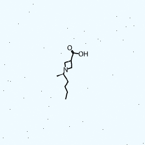 CCCC[C@@H](C)N1CC(C(=O)O)C1